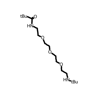 CC(C)(C)NCCOCCOCCOCCNC(=O)C(C)(C)C